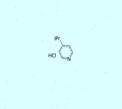 CC(C)c1ccncc1.Cl